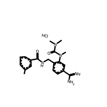 Cc1cccc(C(=O)NCc2ccc(C(=N)N)cc2N(C)C(=O)N(C)C)c1.Cl